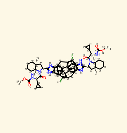 COC(=O)N[C@H](C(=O)N1[C@H](c2nc3cc(-c4cc5cc(F)c4CCc4cc(F)c(c(-c6ccc7[nH]c([C@@H]8C[C@@H]9CCCC[C@@H]9N8C(=O)[C@@H](NC(=O)OC)C8CC8)nc7c6)c4)CC5)ccc3[nH]2)C[C@@H]2CCCC[C@@H]21)C1CC1